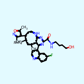 COc1cc(C)c2c(-c3ccnc4ccc(F)cc34)nc(C(=O)NCCCCO)nc2[nH]ccc1-c1c(C)noc1C